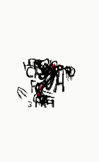 C[C@@H]1CN(c2ccc3c(=O)n(-c4ccc(Cl)c5c(NS(C)(=O)=O)nn(C)c45)c([C@H](Cc4cc(F)cc(F)c4)NC(=O)Cn4nc(C(F)(F)F)c5c4C(F)(F)[C@@H]4C[C@H]54)nc3c2)C[C@H](C)O1